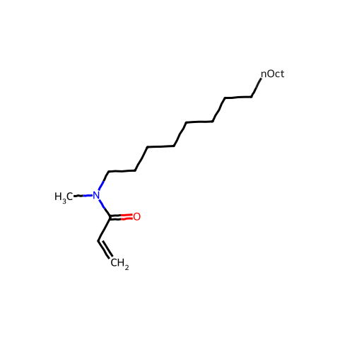 C=CC(=O)N(C)CCCCCCCCCCCCCCCC